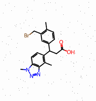 Cc1ccc(C(CC(=O)O)c2ccc3c(nnn3C)c2C)cc1CBr